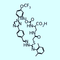 Cc1cccc(C)c1/N=C(/N/N=C/c1ccc(-c2ncn(-c3ccc(OC(F)(F)F)cc3)n2)cc1)SCC(=O)NCC(NC(=O)OC(C)(C)C)C(=O)O